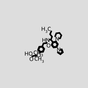 CCCCC(NC(=O)Cc1ccc(OC(C)(C)C(=O)O)cc1)c1ccc(-n2cccc2)cc1N1CCCCC1